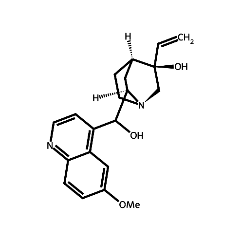 C=C[C@]1(O)C[N@@]2CC[C@@H]1C[C@@H]2C(O)c1ccnc2ccc(OC)cc12